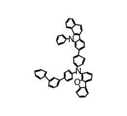 c1ccc(-c2cccc(-c3ccc(N(c4ccc(-c5ccc6c7ccc8ccccc8c7n(-c7ccccc7)c6c5)cc4)c4cccc5c4oc4ccccc45)cc3)c2)cc1